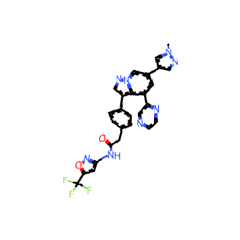 Cn1cc(-c2cc(-c3cnccn3)c3c(-c4ccc(CC(=O)Nc5cc(C(F)(F)F)on5)cc4)cnn3c2)cn1